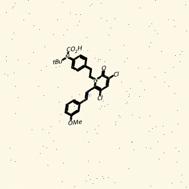 COc1cccc(/C=C/c2c(Cl)cc(Cl)c(=O)n2CCc2ccc(N(C(=O)O)C(C)(C)C)cc2)c1